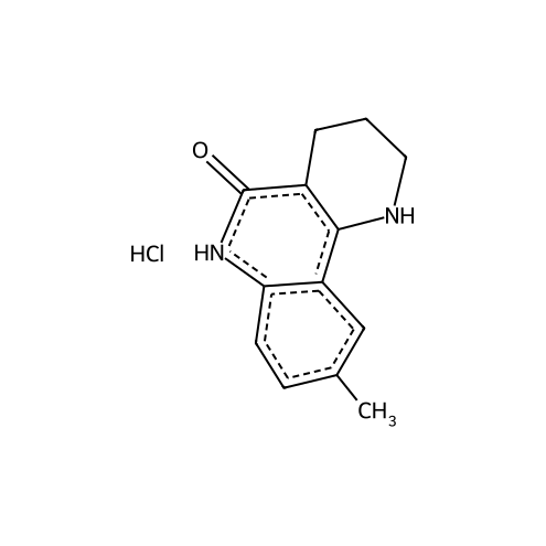 Cc1ccc2[nH]c(=O)c3c(c2c1)NCCC3.Cl